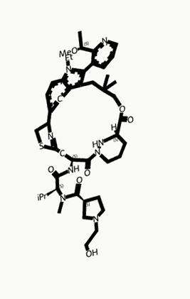 CCn1c(-c2cccnc2[C@H](C)OC)c2c3cc(ccc31)C1CSC(=N1)C[C@H](NC(=O)[C@H](C(C)C)N(C)C(=O)[C@H]1CCN(CCO)C1)C(=O)N1CCC[C@H](N1)C(=O)OCC(C)(C)C2